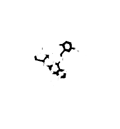 CCC(Nc1nc(NCc2cc(OC)ccc2O)c2ncn(C)c2n1)C(C)(C)O